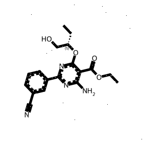 CCOC(=O)c1c(N)nc(-c2cccc(C#N)c2)nc1O[C@@H](CC)CO